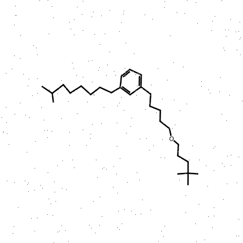 CC(C)CCCCCCc1cccc(CCCCCOCCCC(C)(C)C)c1